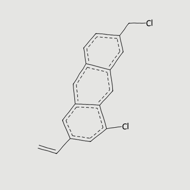 C=Cc1cc(Cl)c2cc3cc(CCl)ccc3cc2c1